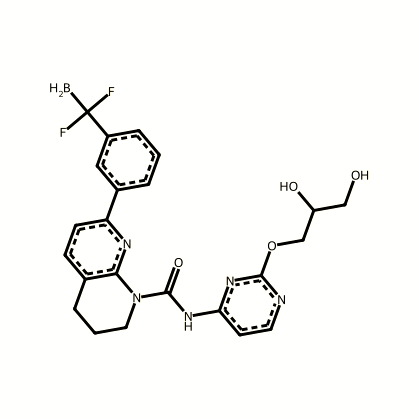 BC(F)(F)c1cccc(-c2ccc3c(n2)N(C(=O)Nc2ccnc(OCC(O)CO)n2)CCC3)c1